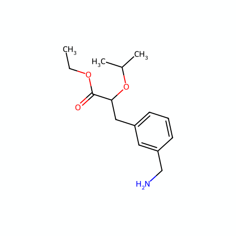 CCOC(=O)C(Cc1cccc(CN)c1)OC(C)C